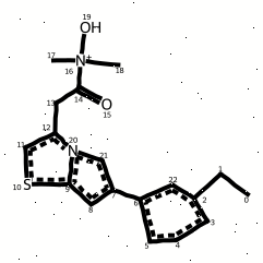 CCc1cccc(-c2cc3scc(CC(=O)[N+](C)(C)O)n3c2)c1